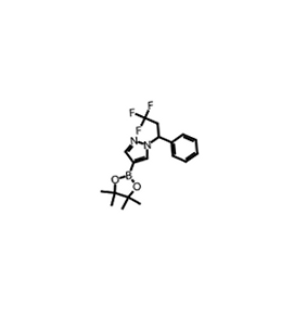 CC1(C)OB(c2cnn(C(CC(F)(F)F)c3ccccc3)c2)OC1(C)C